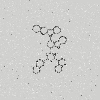 c1ccc2cc(-c3nc(-c4cccc5ccccc45)nc(-c4ccc(-n5c6ccccc6c6cc7ccccc7cc65)c5c4oc4ccccc45)n3)ccc2c1